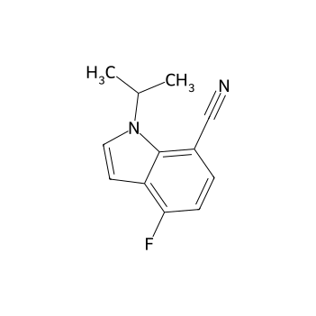 CC(C)n1ccc2c(F)ccc(C#N)c21